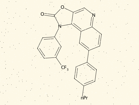 CCCc1ccc(-c2ccc3ncc4oc(=O)n(-c5cccc(C(F)(F)F)c5)c4c3c2)cc1